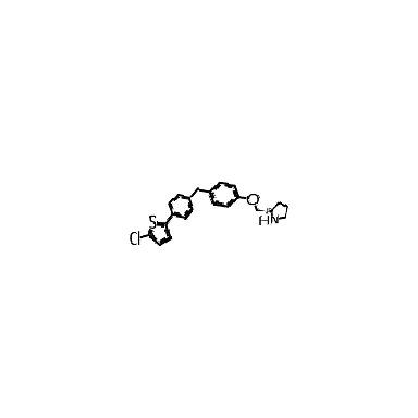 Clc1ccc(-c2ccc(Cc3ccc(OC[C@H]4CCCN4)cc3)cc2)s1